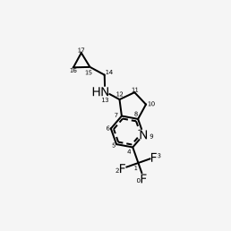 FC(F)(F)c1ccc2c(n1)CCC2NCC1CC1